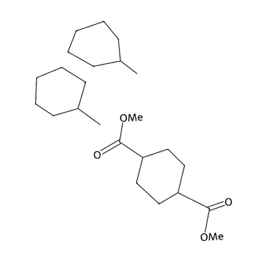 CC1CCCCC1.CC1CCCCC1.COC(=O)C1CCC(C(=O)OC)CC1